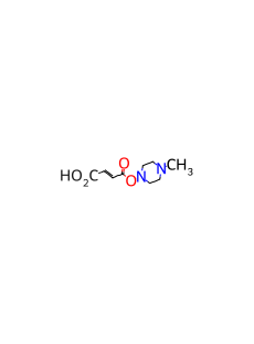 CN1CCN(OC(=O)C=CC(=O)O)CC1